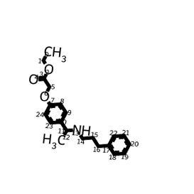 CCOC(=O)COc1ccc(C(C)NCCCc2ccccc2)cc1